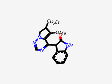 CCOC(=O)C1CN2N=CN=C(C3C(=O)Nc4ccccc43)C2=C1OC